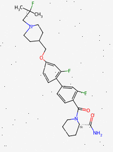 CC(C)(F)CN1CCC(COc2ccc(-c3ccc(C(=O)N4CCCC[C@H]4C(N)=O)c(F)c3)c(F)c2)CC1